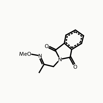 CON=C(C)CN1C(=O)c2ccccc2C1=O